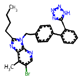 CCCCc1nc2c(C)c(Br)cnc2n1Cc1ccc(-c2ccccc2-c2nnn[nH]2)cc1